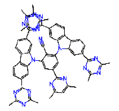 Cc1cc(C)nc(-c2cc(-n3c4cc(-c5nc(C)nc(C)n5)ccc4c4ccc(-c5nc(C)nc(C)n5)cc43)c(C#N)c(-n3c4cc(-c5nc(C)nc(C)n5)ccc4c4ccc(-c5nc(C)nc(C)n5)cc43)c2)n1